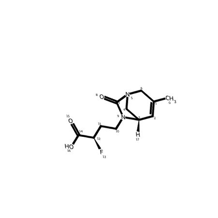 CC1=C[C@H]2CN(C1)C(=O)N2CC[C@@H](F)C(=O)O